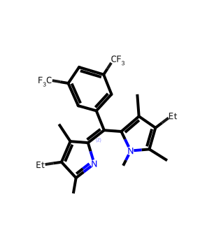 CCC1=C(C)/C(=C(\c2cc(C(F)(F)F)cc(C(F)(F)F)c2)c2c(C)c(CC)c(C)n2C)N=C1C